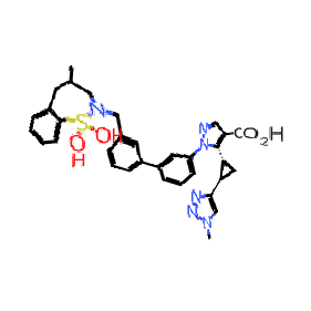 CC1Cc2ccccc2S(O)(O)N(Cc2cccc(-c3cccc(-n4ncc(C(=O)O)c4[C@@H]4C[C@H]4c4cn(C)nn4)c3)c2)C1